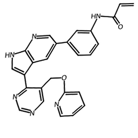 C=CC(=O)Nc1cccc(-c2cnc3[nH]cc(-c4ncncc4COc4ccccn4)c3c2)c1